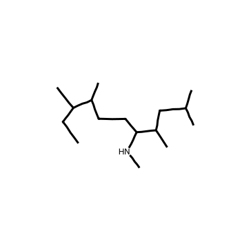 CCC(C)C(C)CCC(NC)C(C)CC(C)C